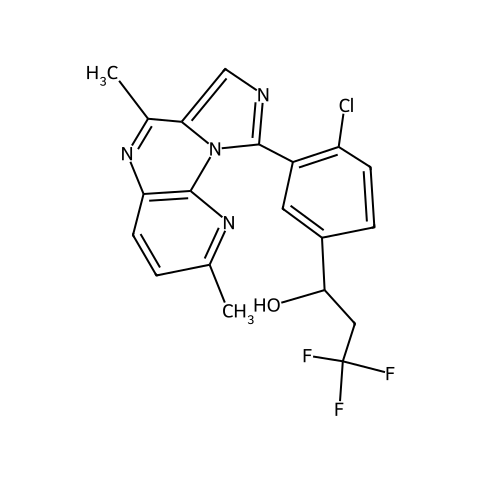 Cc1ccc2nc(C)c3cnc(-c4cc(C(O)CC(F)(F)F)ccc4Cl)n3c2n1